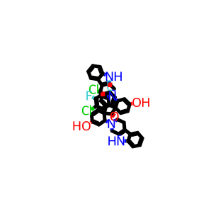 O=C(C1(c2ccc(F)c(Cl)c2)C=CC(O)=CC1N1CCc2c([nH]c3ccccc23)C1)C1(c2ccc(F)c(Cl)c2)C=CC(O)=CC1N1CCc2c([nH]c3ccccc23)C1